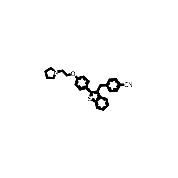 N#Cc1ccc(Cc2c(-c3ccc(OCCN4CCCC4)cc3)sc3ccccc23)cc1